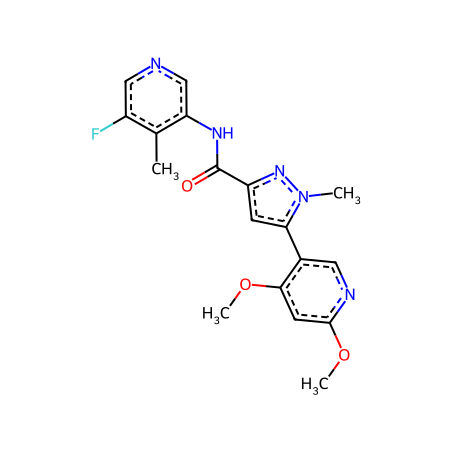 COc1cc(OC)c(-c2cc(C(=O)Nc3cncc(F)c3C)nn2C)cn1